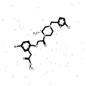 COC(=O)Cc1cc(Br)ccc1OCC(=O)N1CCN(Cc2ccc(Cl)s2)C[C@H]1C